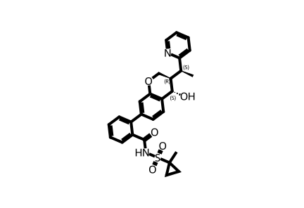 C[C@H](c1ccccn1)[C@@H]1COc2cc(-c3ccccc3C(=O)NS(=O)(=O)C3(C)CC3)ccc2[C@H]1O